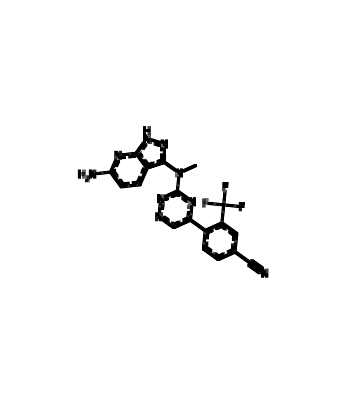 CN(c1nncc(-c2ccc(C#N)cc2C(F)(F)F)n1)c1n[nH]c2nc(N)ccc12